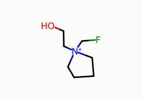 OCC[N+]1(CF)CCCC1